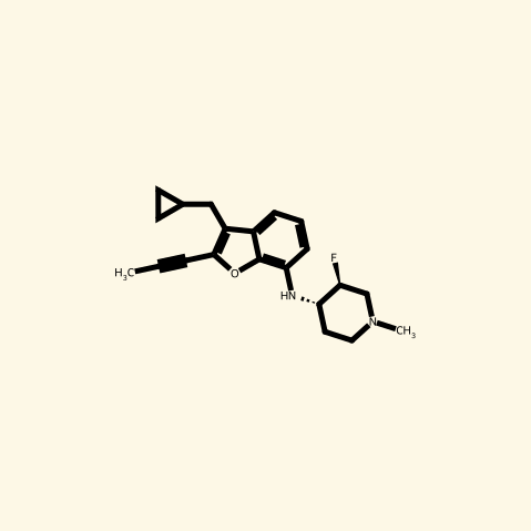 CC#Cc1oc2c(N[C@H]3CCN(C)C[C@@H]3F)cccc2c1CC1CC1